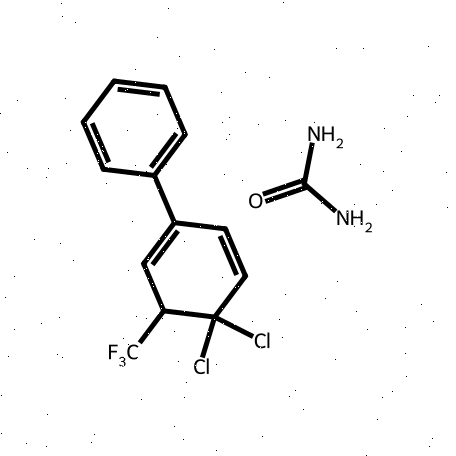 FC(F)(F)C1C=C(c2ccccc2)C=CC1(Cl)Cl.NC(N)=O